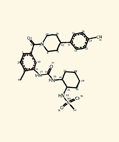 Cc1ccc(C(=O)N2CCC(c3ccc(C#N)cc3)CC2)cc1NC(=O)NC1CCCCC1NS(C)(=O)=O